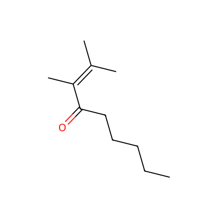 CCCCCC(=O)C(C)=C(C)C